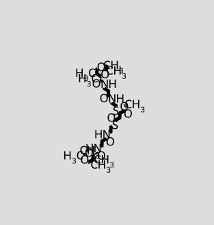 COC(=O)C(CC(=O)SCCNC(=O)CCNC(=O)[C@@H]1OC(C)(C)OCC1(C)C)SCCNC(=O)CCNC(=O)[C@@H]1OC(C)(C)OCC1(C)C